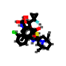 Cc1cc(C(=O)O)cc2sc(N3[C@@H]4CC[C@H]3CC(OC(=O)c3c(-c5c(Cl)cccc5Cl)noc3C3(F)CC3)C4)nc12